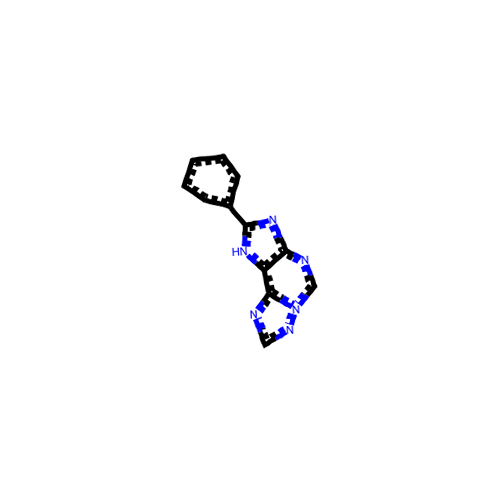 c1ccc(-c2nc3ncn4ncnc4c3[nH]2)cc1